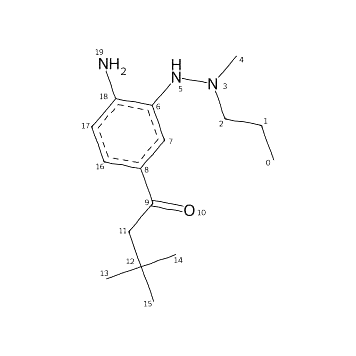 CCCN(C)Nc1cc(C(=O)CC(C)(C)C)ccc1N